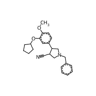 COc1ccc(C2CN(Cc3ccccc3)CC2C#N)cc1OC1CCCC1